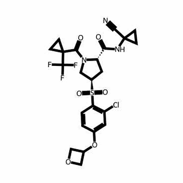 N#CC1(NC(=O)[C@@H]2C[C@@H](S(=O)(=O)c3ccc(OC4COC4)cc3Cl)CN2C(=O)C2(C(F)(F)F)CC2)CC1